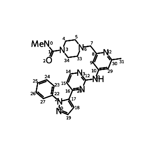 CNC(=O)N1CCN(Cc2cc(Nc3nccc(-c4ccnn4-c4ccccc4)n3)cc(C)n2)CC1